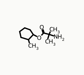 CC1CCCCC1OC(=O)C(C)(C)N